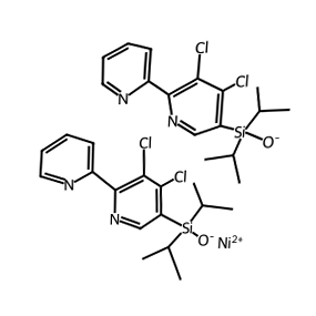 CC(C)[Si]([O-])(c1cnc(-c2ccccn2)c(Cl)c1Cl)C(C)C.CC(C)[Si]([O-])(c1cnc(-c2ccccn2)c(Cl)c1Cl)C(C)C.[Ni+2]